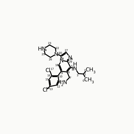 CC(C)CNc1c(CN)c(-c2ccc(Cl)cc2Cl)cn2c(N3CCNCC3)cnc12